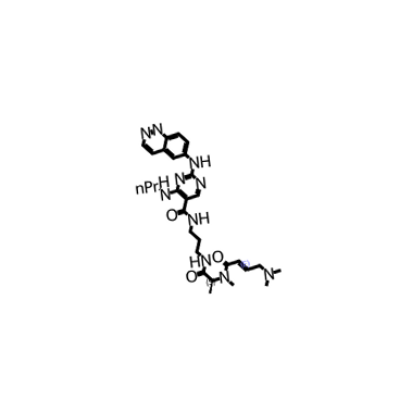 CCCNc1nc(Nc2ccc3nnccc3c2)ncc1C(=O)NCCCNC(=O)[C@H](C)N(C)C(=O)/C=C/CN(C)C